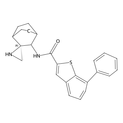 O=C(NC1C2CCC(CC2)[C@@]12CN2)c1cc2cccc(-c3ccccc3)c2s1